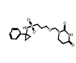 O=C1CCN(COCCCS(=O)(=O)NC2(c3ccccc3)CC2)C(=O)N1